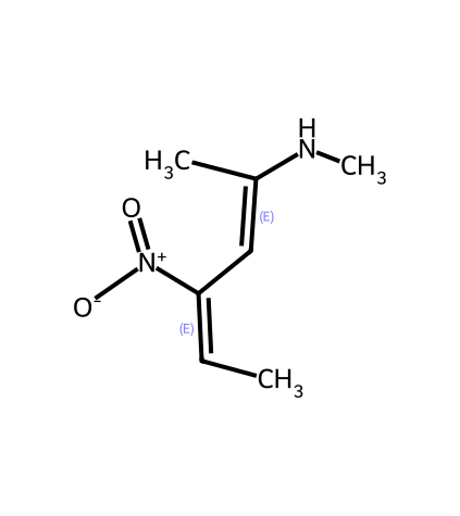 C/C=C(\C=C(/C)NC)[N+](=O)[O-]